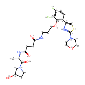 CC(C)(C)[C@H](NC(=O)CCC(=O)NCCCOc1c(-c2csc(N3CCOCC3)n2)ccc(F)c1F)C(=O)N1CC[C@@H](O)C1